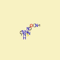 Cc1cccnc1Nc1nc(-c2ccc(OC3CCN(C4CC4)CC3)cn2)ns1